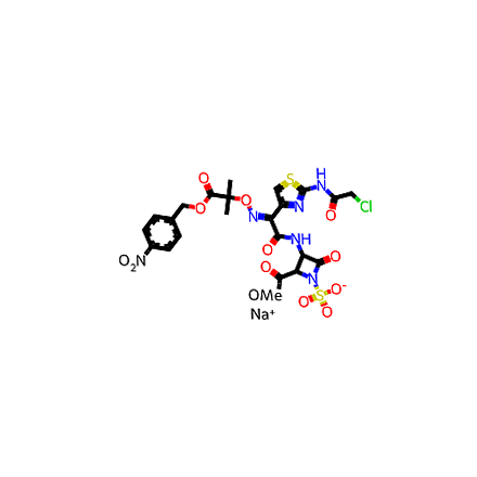 COC(=O)C1C(NC(=O)C(=NOC(C)(C)C(=O)OCc2ccc([N+](=O)[O-])cc2)c2csc(NC(=O)CCl)n2)C(=O)N1S(=O)(=O)[O-].[Na+]